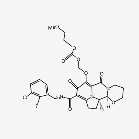 COCCOC(=O)OCOc1c2n3c(c(C(=O)NCc4cccc(Cl)c4F)c1=O)CC[C@@H]3[C@@H]1OCCCN1C2=O